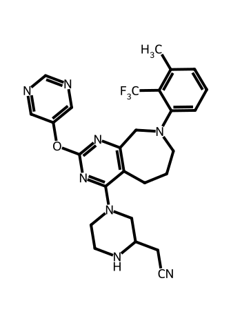 Cc1cccc(N2CCCc3c(nc(Oc4cncnc4)nc3N3CCNC(CC#N)C3)C2)c1C(F)(F)F